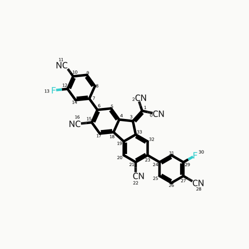 N#CC(C#N)=C1c2cc(-c3ccc(C#N)c(F)c3)c(C#N)cc2-c2cc(C#N)c(-c3ccc(C#N)c(F)c3)cc21